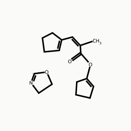 CC(=CC1=CCCC1)C(=O)OC1=CCCC1.[C]1=NCCO1